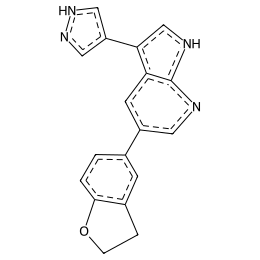 c1cc2c(cc1-c1cnc3[nH]cc(-c4cn[nH]c4)c3c1)CCO2